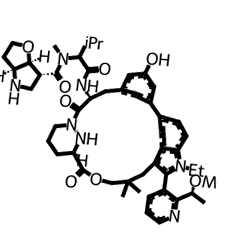 CCn1c(-c2cccnc2[C@H](C)OC)c2c3cc(ccc31)-c1cc(O)cc(c1)C[C@H](NC(=O)C(C(C)C)N(C)C(=O)[C@@H]1CN[C@H]3CCO[C@H]31)C(=O)N1CCC[C@H](N1)C(=O)OCC(C)(C)C2